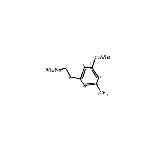 CNCCc1cc(OC)cc(C(F)(F)F)c1